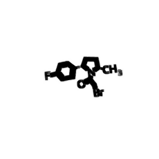 C[C@H]1CC[C@@H](c2ccc(F)cc2)N1C(=O)CBr